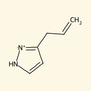 C=CCC1=[N+]NC=C1